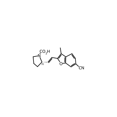 Cc1c(C=C[C@@H]2CCCN2C(=O)O)oc2cc(C#N)ccc12